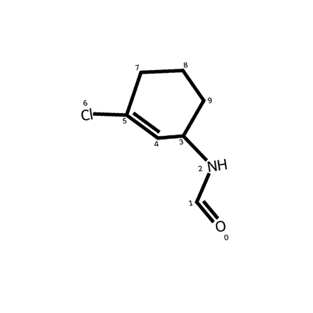 O=CNC1C=C(Cl)CCC1